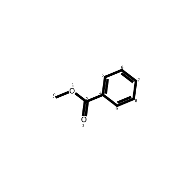 [CH2]OC(=O)c1ccccc1